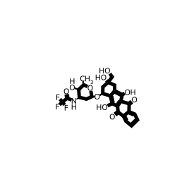 C[C@H]1O[C@@H](O[C@H]2CC(O)(CO)Cc3c(O)c4c(c(O)c32)C(=O)c2ccccc2C4=O)C[C@H](NC(=O)C(F)(F)F)[C@H]1O